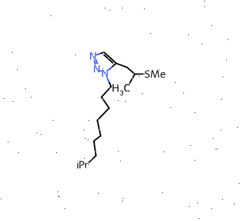 CSC(C)Cc1cnnn1CCCCCCCC(C)C